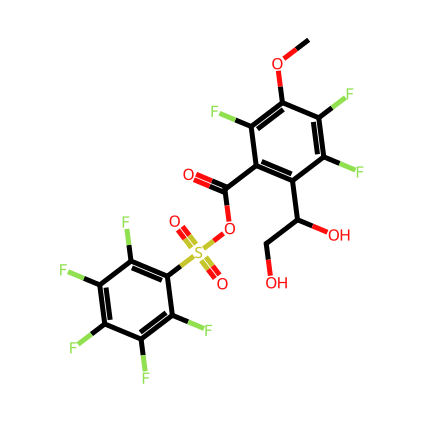 COc1c(F)c(F)c(C(O)CO)c(C(=O)OS(=O)(=O)c2c(F)c(F)c(F)c(F)c2F)c1F